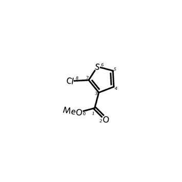 COC(=O)c1ccsc1Cl